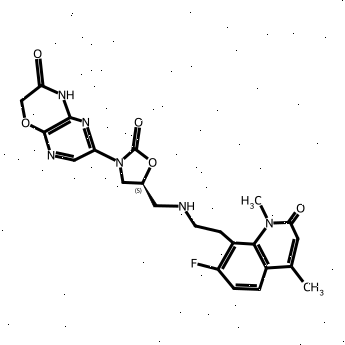 Cc1cc(=O)n(C)c2c(CCNC[C@H]3CN(c4cnc5c(n4)NC(=O)CO5)C(=O)O3)c(F)ccc12